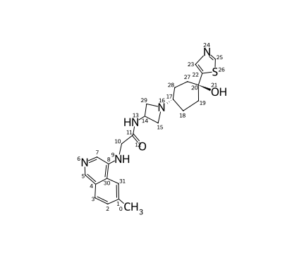 Cc1ccc2cncc(NCC(=O)NC3CN([C@H]4CC[C@@](O)(c5cncs5)CC4)C3)c2c1